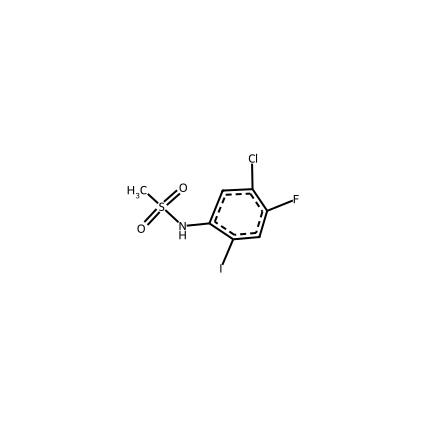 CS(=O)(=O)Nc1cc(Cl)c(F)cc1I